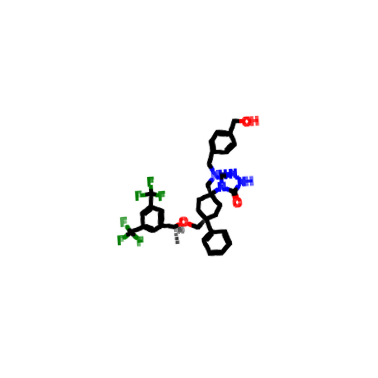 C[C@@H](OC[C@]1(c2ccccc2)CC[C@@](CNCc2ccc(CO)cc2)(n2cn[nH]c2=O)CC1)c1cc(C(F)(F)F)cc(C(F)(F)F)c1